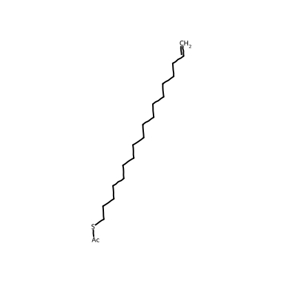 C=CCCCCCCCCCCCCCCCCSC(C)=O